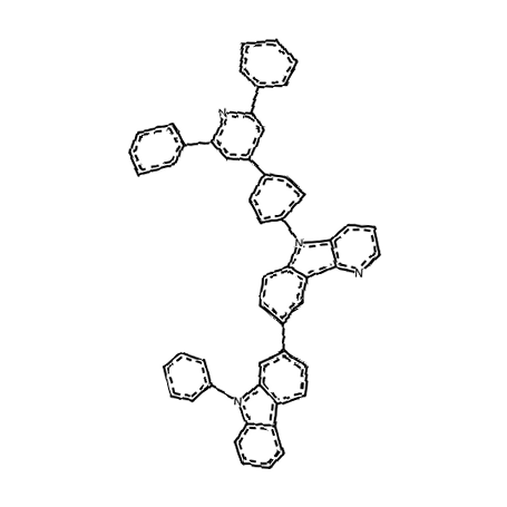 c1ccc(-c2cc(-c3ccc(-n4c5ccc(-c6ccc7c8ccccc8n(-c8ccccc8)c7c6)cc5c5ncccc54)cc3)cc(-c3ccccc3)n2)cc1